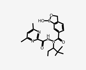 CCC(N(NC(=O)c1nc(C)cc(C)n1)C(=O)c1ccc2c(c1)B(O)OC2)C(C)(C)C